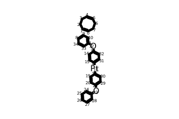 C1=CCCC=CCC1.c1ccc(Oc2cc[c]([Pt][c]3ccc(Oc4ccccc4)cc3)cc2)cc1